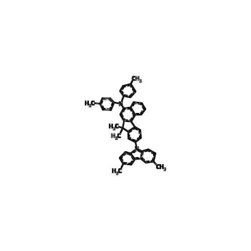 Cc1ccc(N(c2ccc(C)cc2)c2cc3c(c4ccccc24)-c2ccc(-n4c5ccc(C)cc5c5cc(C)ccc54)cc2C3(C)C)cc1